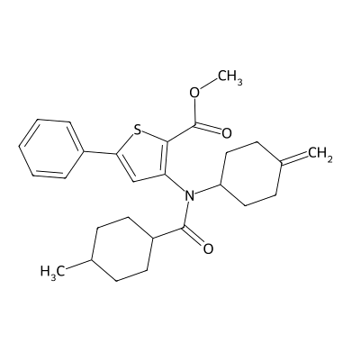 C=C1CCC(N(C(=O)C2CCC(C)CC2)c2cc(-c3ccccc3)sc2C(=O)OC)CC1